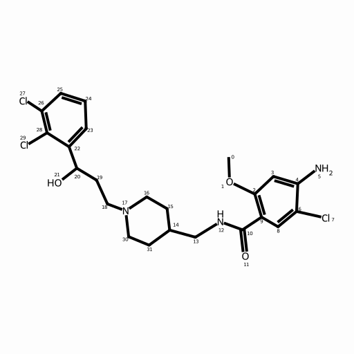 COc1cc(N)c(Cl)cc1C(=O)NCC1CCN(CCC(O)c2cccc(Cl)c2Cl)CC1